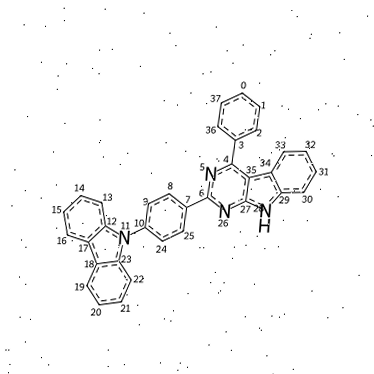 c1ccc(-c2nc(-c3ccc(-n4c5ccccc5c5ccccc54)cc3)nc3[nH]c4ccccc4c23)cc1